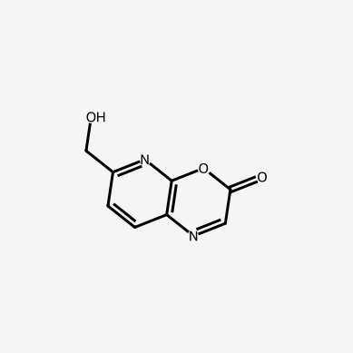 O=c1cnc2ccc(CO)nc2o1